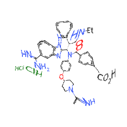 CCNC(=O)C(c1ccccc1)[C@@H](c1nc2cc(C(=N)N)ccc2[nH]1)N(C(=O)c1ccc(C(=O)O)cc1)c1ccc(OC2CCN(C(C)=N)CC2)cc1.Cl.Cl